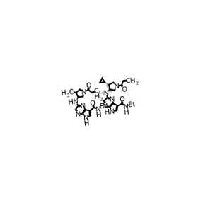 C=CC(=O)N1CC(C)C(Nc2cnc3[nH]cc(C(=O)NCC)c3n2)C1.C=CC(=O)N1C[C@H](Nc2cnc3[nH]cc(C(=O)NCC)c3n2)[C@H](C2CC2)C1